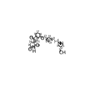 C#Cc1cnn(CCCn2cnc(COc3cccc4c3CN(C3CCC(=O)NC3=O)C4=O)c2)c1